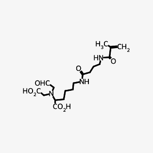 C=C(C)C(=O)NCCCC(=O)NCCCCC(C(=O)O)N(CC=O)CC(=O)O